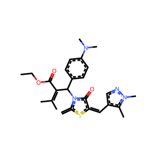 C=c1s/c(=C/c2cnn(C)c2C)c(=O)n1C(C(C(=O)OCC)=C(C)C)c1ccc(N(C)C)cc1